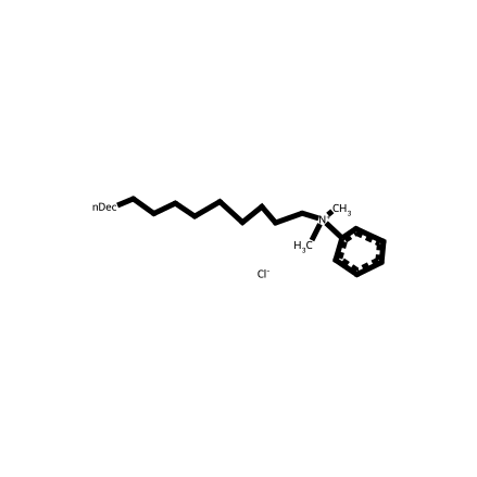 CCCCCCCCCCCCCCCCCCC[N+](C)(C)c1ccccc1.[Cl-]